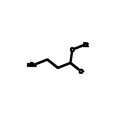 CCCCCCC([O])OCC